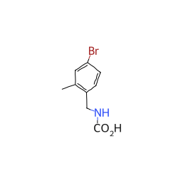 Cc1cc(Br)ccc1CNC(=O)O